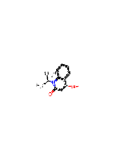 CC(C(=O)O)n1c(=O)cc(O)c2ccccc21